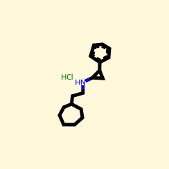 Cl.c1ccc(C2CC2NCCC2CCCCCC2)cc1